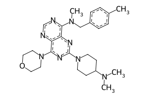 Cc1ccc(CN(C)c2ncnc3c(N4CCOCC4)nc(N4CCC(N(C)C)CC4)nc23)cc1